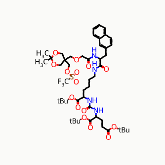 CC(C)(C)OC(=O)CCC(NC(=O)NC(CCCCNC(=O)C(Cc1ccc2ccccc2c1)NC(=O)COCC1(COS(=O)(=O)C(F)(F)F)COC(C)(C)OC1)C(=O)OC(C)(C)C)C(=O)OC(C)(C)C